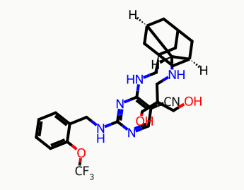 N#Cc1cnc(NCc2ccccc2OC(F)(F)F)nc1NC[C@]12CC3C[C@H](C1)[C@@H](NCC(CO)CO)[C@@H](C3)C2